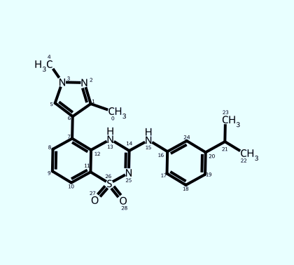 Cc1nn(C)cc1-c1cccc2c1NC(Nc1cccc(C(C)C)c1)=NS2(=O)=O